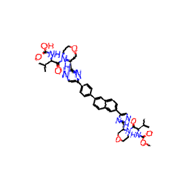 COC(=O)NC(C(=O)N1CCOC[C@H]1c1nc(-c2ccc3cc(-c4ccc(-c5c[nH]c([C@@H]6COCCN6C(=O)C(NC(=O)O)C(C)C)n5)cc4)ccc3c2)c[nH]1)C(C)C